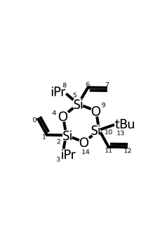 C=C[Si]1(C(C)C)O[Si](C=C)(C(C)C)O[Si](C=C)(C(C)(C)C)O1